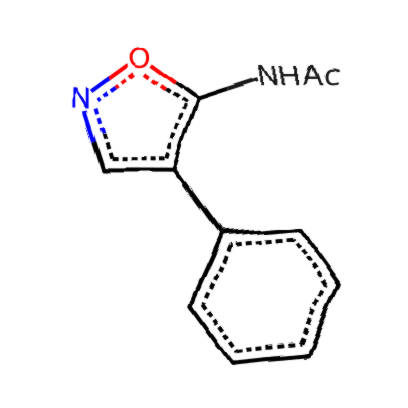 CC(=O)Nc1oncc1-c1ccccc1